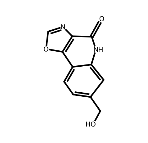 O=c1[nH]c2cc(CO)ccc2c2ocnc12